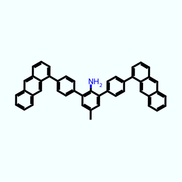 Cc1cc(-c2ccc(-c3cccc4cc5ccccc5cc34)cc2)c(N)c(-c2ccc(-c3cccc4cc5ccccc5cc34)cc2)c1